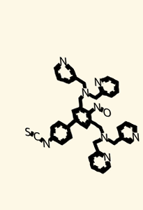 O=Nc1c(CN(Cc2cccnc2)Cc2ccccn2)cc(-c2ccc(N=C=S)cc2)cc1CN(Cc1cccnc1)Cc1ccccn1